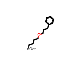 CCCCCCCCCCCCO[CH]CCc1ccccc1